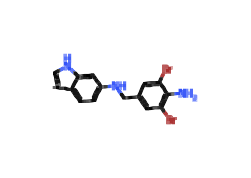 Nc1c(Br)cc(CNc2ccc3[c]c[nH]c3c2)cc1Br